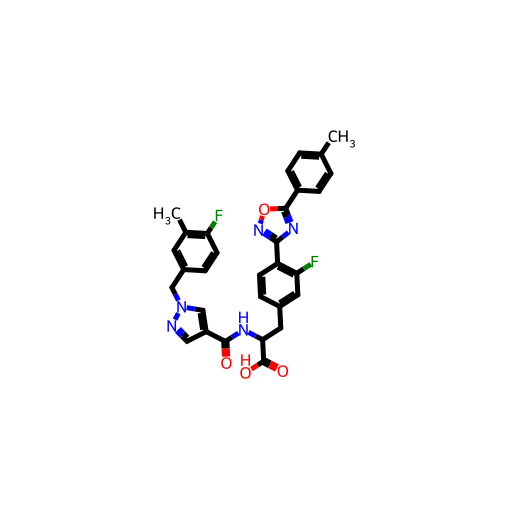 Cc1ccc(-c2nc(-c3ccc(CC(NC(=O)c4cnn(Cc5ccc(F)c(C)c5)c4)C(=O)O)cc3F)no2)cc1